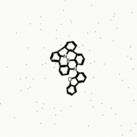 c1cc2c3c(c1)N(c1cccc4c1oc1ccccc14)c1cccc4c1B3n1c3c-2cccc3c2cccc-4c21